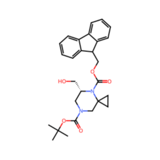 CC(C)(C)OC(=O)N1C[C@H](CO)N(C(=O)OCC2c3ccccc3-c3ccccc32)C2(CC2)C1